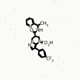 CC(NC(=O)C1CN(C(=O)O)c2c(-c3ccc(C(F)(F)F)cc3)cnn2C1)c1ccccn1